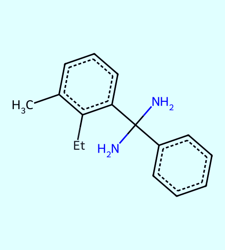 CCc1c(C)cccc1C(N)(N)c1ccccc1